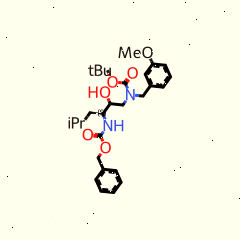 COc1cccc(CN(CC(O)[C@H](CC(C)C)NC(=O)OCc2ccccc2)C(=O)OC(C)(C)C)c1